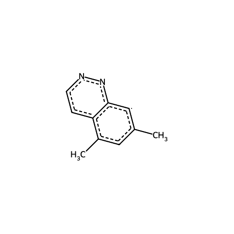 Cc1[c]c2nnccc2c(C)c1